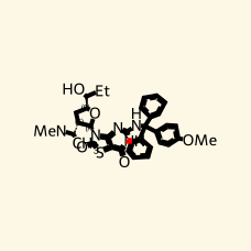 CCC(O)[C@@H]1C[C@@H](C(C)NC)[C@H](n2c(=O)sc3c(=O)[nH]c(NC(c4ccccc4)(c4ccccc4)c4ccc(OC)cc4)nc32)O1